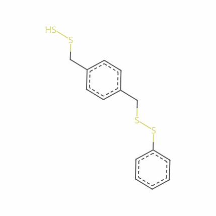 SSCc1ccc(CSSc2ccccc2)cc1